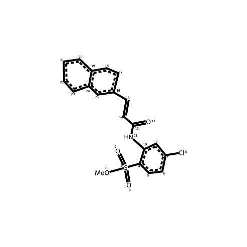 COS(=O)(=O)c1ccc(Cl)cc1NC(=O)C=Cc1ccc2ccccc2c1